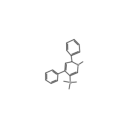 CN1C=C([Si](C)(C)C)C(c2ccccc2)=CC1c1ccccc1